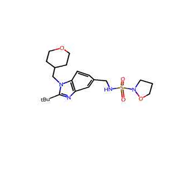 CC(C)(C)c1nc2cc(CNS(=O)(=O)N3CCCO3)ccc2n1CC1CCOCC1